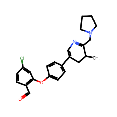 CC1CC(c2ccc(Oc3cc(Cl)ccc3C=O)cc2)=CN=C1CN1CCCC1